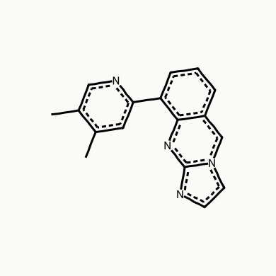 Cc1cnc(-c2cccc3cn4ccnc4nc23)cc1C